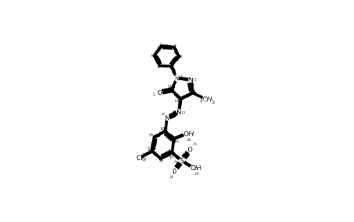 CC1=NN(c2ccccc2)C(=O)C1N=Nc1cc(Cl)cc(S(=O)(=O)O)c1O